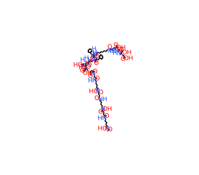 CC(=O)N(O)CCCCCNC(=O)CCC(=O)N(O)CCCCCNC(=O)CCC(=O)N(O)CCCCCNC(=O)CCN1C(=O)CC(SC[C@H](NC(=O)[C@H](CC(=O)O)NC(=O)[C@@H](N)CNC(=O)[C@H](Cc2ccccc2)NC(=O)[C@H](Cc2ccccc2)NC(=O)CCCCCCCNC(=O)CC[C@H](NC(=O)N[C@@H](CCC(=O)O)C(=O)O)C(=O)O)C(=O)O)C1=O